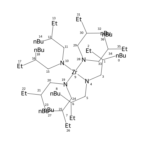 CCCCC(CC)C[N](CC(CC)CCCC)[Zr]([N](CC(CC)CCCC)CC(CC)CCCC)([N](CC(CC)CCCC)CC(CC)CCCC)[N](CC(CC)CCCC)CC(CC)CCCC